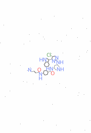 CN(C)C/C=C/C(=O)Nc1ccc(C(=O)N[C@H]2CNC[C@H](Nc3ncc(Cl)c(-c4c[nH]c5ccccc45)n3)C2)cc1